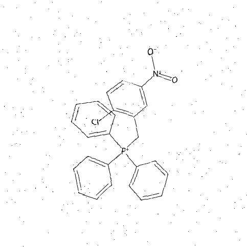 O=[N+]([O-])c1ccc(Cl)c(C[P+](c2ccccc2)(c2ccccc2)c2ccccc2)c1